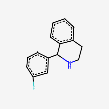 Fc1cc[c]c(C2NCCc3ccccc32)c1